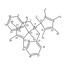 CC1=C(C)[C](C)([Zr]([CH2]c2ccccc2)([CH2]c2ccccc2)[C]2(C)C(C)=C(C)C(C)=C2C)C(C)=C1C